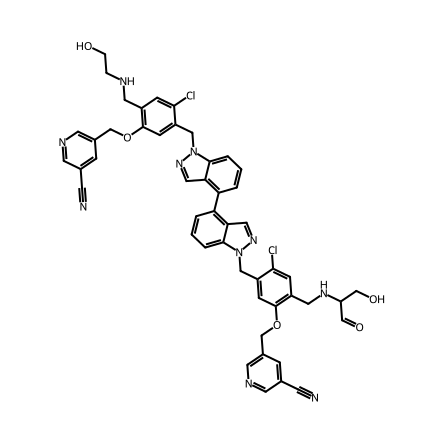 N#Cc1cncc(COc2cc(Cn3ncc4c(-c5cccc6c5cnn6Cc5cc(OCc6cncc(C#N)c6)c(CNC(C=O)CO)cc5Cl)cccc43)c(Cl)cc2CNCCO)c1